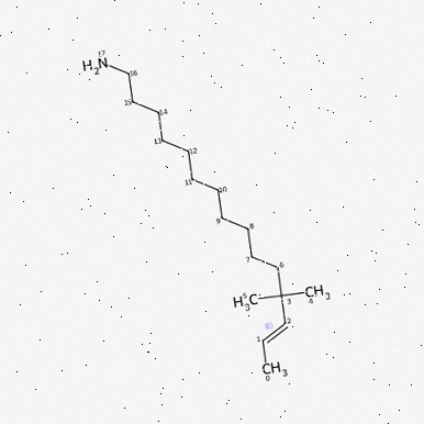 C/C=C/C(C)(C)CCCCCCCCCCCN